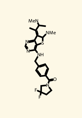 CNC(C)/C(C)=C1/c2ncnc(NCc3ccc(C(=O)N4CCC(F)(F)C4)cc3)c2SC1NC